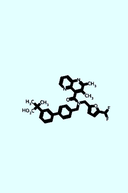 Cc1nc2cccnc2c(C(=O)N(Cc2ccc(-c3cccc(C(C)(C)C(=O)O)c3)cc2)Cc2ccc(C(F)F)o2)c1C